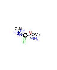 COC(=O)C(CN)c1ccc(NC(=N)N[N+](=O)[O-])cc1.Cl